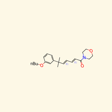 CCCCOc1cccc(C(C)(C)/C=C/C=C/C(=O)N2CCOCC2)c1